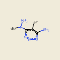 CCCc1c(N)nnnc1N(N)C(C)(C)C